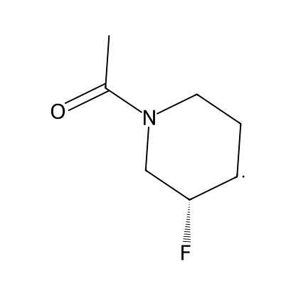 CC(=O)N1CC[CH][C@H](F)C1